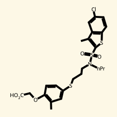 CCCN(CCCSc1ccc(OCC(=O)O)c(C)c1)S(=O)(=O)c1sc2ccc(Cl)cc2c1C